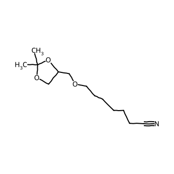 CC1(C)OCC(COCCCCCCC#N)O1